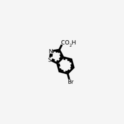 O=C(O)c1nsc2cc(Br)ccc12